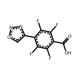 O=C(O)c1c(F)c(F)c(-c2conn2)c(F)c1F